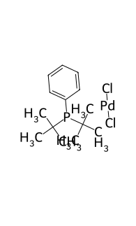 CC(C)(C)P(c1ccccc1)C(C)(C)C.[Cl][Pd][Cl]